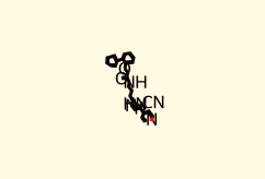 N#CNN(/C=N\CCCCNC(=O)COc1ccccc1-c1ccccc1)c1ccncc1